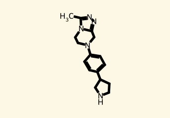 Cc1nnc2n1CCN(c1ccc(C3CCNC3)cc1)C2